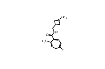 CN1CC(CNC(=O)C2=CC=C(F)CC=C2C(F)(F)F)C1